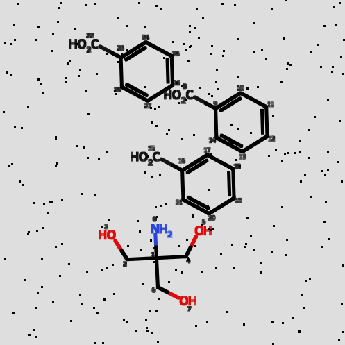 NC(CO)(CO)CO.O=C(O)c1ccccc1.O=C(O)c1ccccc1.O=C(O)c1ccccc1